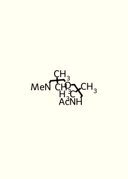 CNCC(C)(C)COCC(C)(C)CNC(C)=O